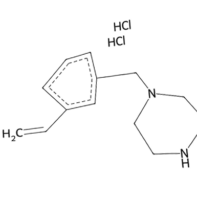 C=Cc1cccc(CN2CCNCC2)c1.Cl.Cl